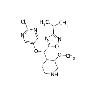 COC1CNCCC1C(Oc1cnc(Cl)nc1)c1nc(C(C)C)no1